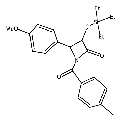 CC[Si](CC)(CC)OC1C(=O)N(C(=O)c2ccc(C)cc2)C1c1ccc(OC)cc1